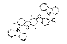 COc1ccc2c(oc3c(C)c4c(oc5c(-n6c7ccccc7c7ccccc76)c(C)ccc54)c(C)c32)c1-n1c2ccccc2c2ccccc21